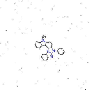 CC(C)n1c2ccccc2c2c1ccc1c2n2c3ccccc3nc2n1-c1ccccc1